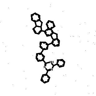 C1=CC2c3ccccc3CC2C(c2cc3c(c4ccccc24)Cc2cccc(-c4cccc(-c5cccc(C6=NC(c7ccccc7)=NC(c7ccccc7)N6)c5)c4)c2-3)=C1